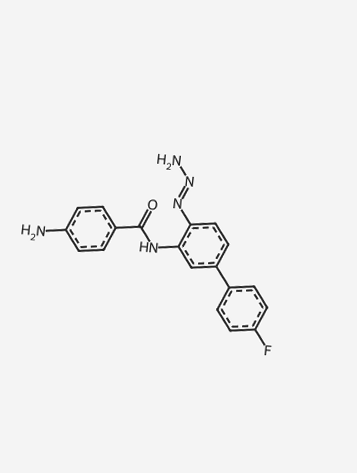 NN=Nc1ccc(-c2ccc(F)cc2)cc1NC(=O)c1ccc(N)cc1